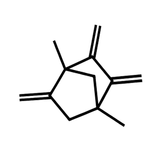 C=C1C(=C)C2(C)CC1(C)CC2=C